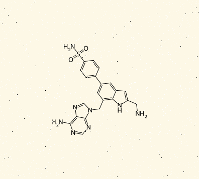 NCc1cc2cc(-c3ccc(S(N)(=O)=O)cc3)cc(Cn3cnc4c(N)ncnc43)c2[nH]1